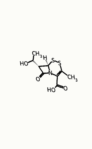 CC1=C(C(=O)O)N2C(=O)[C@H](C(C)O)[C@H]2SS1